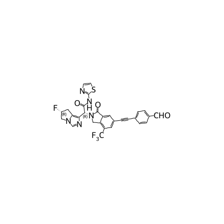 O=Cc1ccc(C#Cc2cc3c(c(C(F)(F)F)c2)CN([C@@H](C(=O)Nc2nccs2)c2ncn4c2C[C@@H](F)C4)C3=O)cc1